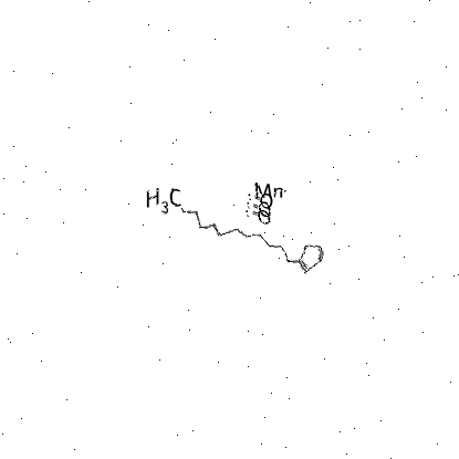 CCCCCCCCCCCCC1=CC=CC1.[C]=O.[C]=O.[C]=O.[Mn]